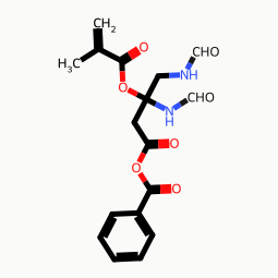 C=C(C)C(=O)OC(CNC=O)(CC(=O)OC(=O)c1ccccc1)NC=O